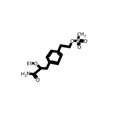 CCOC(Cc1ccc(CCOS(C)(=O)=O)cc1)C(N)=O